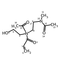 C=CC(=O)[N+](CCO)(CCN(C)C(C)=O)C(C)=O